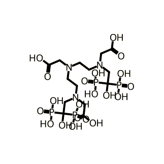 O=C(O)CN(CCN(CC(=O)O)CC(O)(P(=O)(O)O)P(=O)(O)O)CCN(CC(=O)O)CC(O)(P(=O)(O)O)P(=O)(O)O